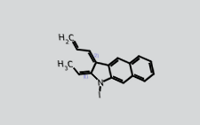 C=C/C=c1\c(=C/C)n(I)c2cc3ccccc3cc12